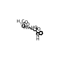 CC(=O)N1CCC[C@H]1C(=O)NCCCCC(C(=O)O)c1c[nH]c2ccccc12